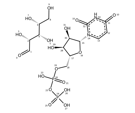 O=C[C@H](O)[C@@H](O)[C@H](O)CO.O=c1ccn([C@@H]2O[C@H](COP(=O)(O)OP(=O)(O)O)[C@@H](O)[C@H]2O)c(=O)[nH]1